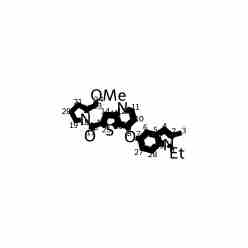 CCn1c(C)cc2cc(Oc3ccnc4cc(C(=O)N5CCCC5COC)sc34)ccc21